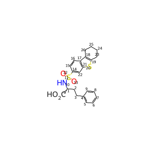 O=C(O)[C@H](CCc1ccccc1)NS(=O)(=O)c1ccc2c3c(sc2c1)CCCC3